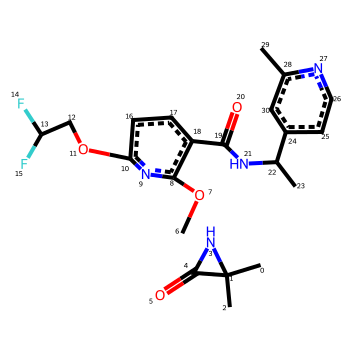 CC1(C)NC1=O.COc1nc(OCC(F)F)ccc1C(=O)NC(C)c1ccnc(C)c1